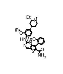 CC[C@H]1C[C@H](c2ccc(Nc3ncc4sc(C(N)=O)c(-c5ccccc5OC)c4n3)c(OC(C)C)c2)CCN1C